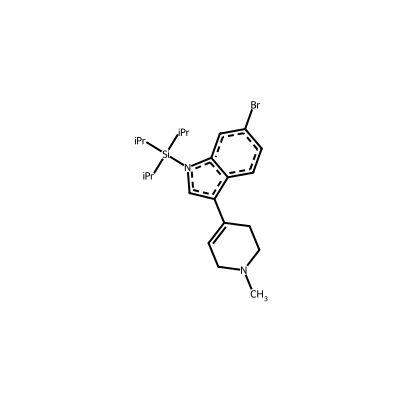 CC(C)[Si](C(C)C)(C(C)C)n1cc(C2=CCN(C)CC2)c2ccc(Br)cc21